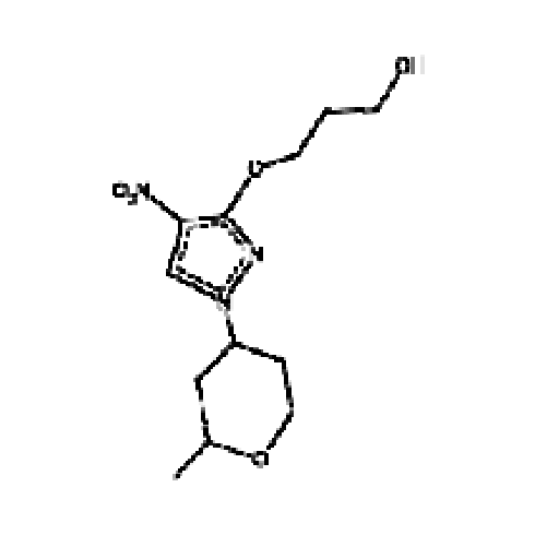 CC1CC(n2cc([N+](=O)[O-])c(OCCCO)n2)CCO1